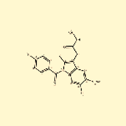 CCCCNC(=O)Cc1c(C)n(C(=O)c2ccc(F)cc2)c2cc(Cl)c(OC)cc12